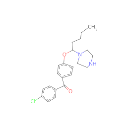 CCCCC(Oc1ccc(C(=O)c2ccc(Cl)cc2)cc1)N1CCNCC1